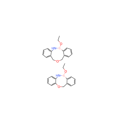 CCOB1Nc2ccccc2COCc2ccccc21.CCOB1Nc2ccccc2OCc2ccccc21